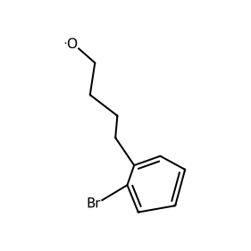 [O]CCCCc1ccccc1Br